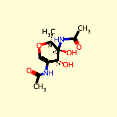 CC(=O)NC1=CO[C@H](C)[C@](O)(NC(C)=O)[C@@H]1O